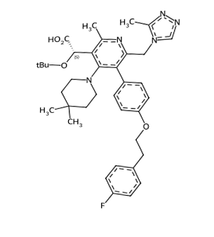 Cc1nc(Cn2cnnc2C)c(-c2ccc(OCCc3ccc(F)cc3)cc2)c(N2CCC(C)(C)CC2)c1[C@H](OC(C)(C)C)C(=O)O